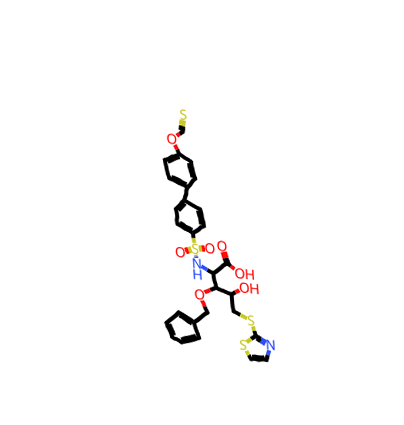 O=C(O)C(NS(=O)(=O)c1ccc(-c2ccc(OC=S)cc2)cc1)C(OCc1ccccc1)C(O)CSc1nccs1